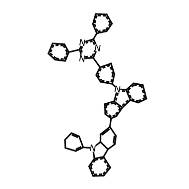 C1=CC(N2c3ccccc3C3C=CC(c4ccc5c(c4)c4ccccc4n5-c4ccc(-c5nc(-c6ccccc6)nc(-c6ccccc6)n5)cc4)=CC32)=CCC1